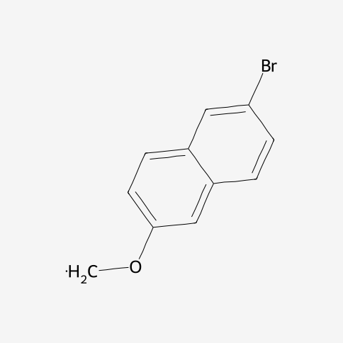 [CH2]Oc1ccc2cc(Br)ccc2c1